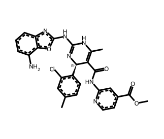 COC(=O)c1ccnc(NC(=O)C2=C(C)NC(Nc3nc4cccc(N)c4o3)=N[C@@H]2c2ccc(C)cc2Cl)c1